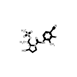 Cc1c(NC(=O)N2CCC(O)[C@H]2[C@H](C)OS(C)(=O)=O)ccc(C#N)c1F